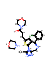 C1COCCN1.Cc1nnc2n1-c1sc(CCC(=O)N3CCOCC3)cc1C(c1ccccc1Cl)=NC2